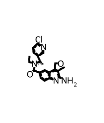 CCN(C(=O)c1ccc2nc(N)c3c(c2c1)COC3)[C@H](C)c1ccc(Cl)nc1